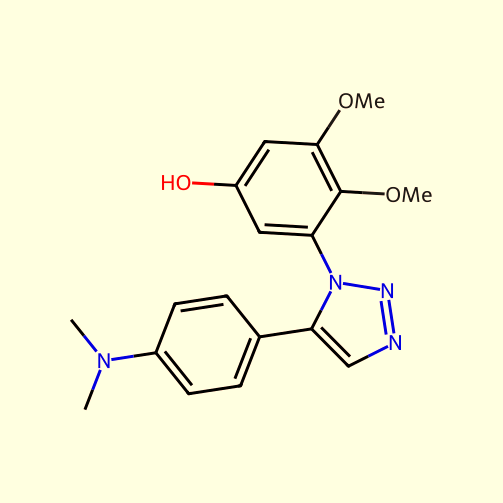 COc1cc(O)cc(-n2nncc2-c2ccc(N(C)C)cc2)c1OC